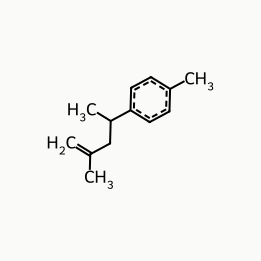 C=C(C)CC(C)c1ccc(C)cc1